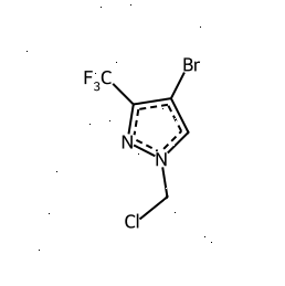 FC(F)(F)c1nn(CCl)cc1Br